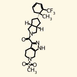 CC1([C@@H]2C[C@@H]3CN(C(=O)c4n[nH]c5c4CCN(S(C)(=O)=O)C5)C[C@@H]3C2)CC=CC=C1C(F)(F)F